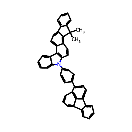 CC1(C)c2ccccc2-c2ccc3c(ccc4c3c3ccccc3n4-c3ccc(-c4ccc5c6c(cccc46)-c4ccccc4-5)cc3)c21